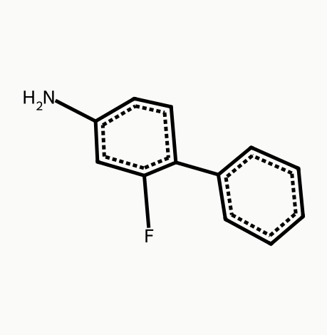 Nc1ccc(-c2ccccc2)c(F)c1